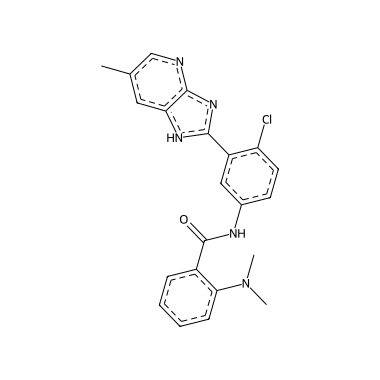 Cc1cnc2nc(-c3cc(NC(=O)c4ccccc4N(C)C)ccc3Cl)[nH]c2c1